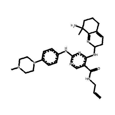 C=CCNC(=O)c1cnc(Nc2ccc(N3CCN(C)CC3)cc2)nc1NC1CC=C2CCCC(C)(N)C2=N1